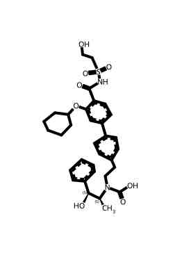 C[C@@H]([C@@H](O)c1ccccc1)N(CCc1ccc(-c2ccc(C(=O)NS(=O)(=O)CCO)c(OC3CCCCC3)c2)cc1)C(=O)O